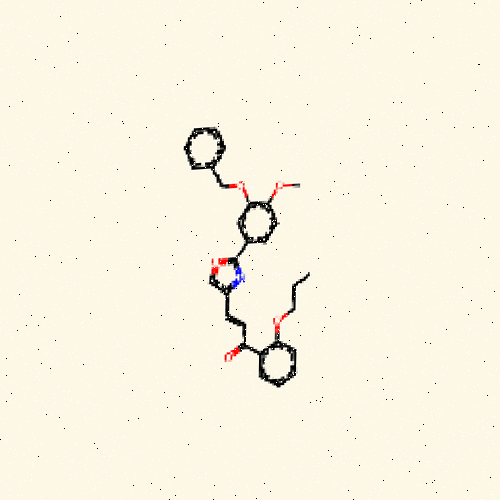 CCCOc1ccccc1C(=O)/C=C/c1coc(-c2ccc(OC)c(OCc3ccccc3)c2)n1